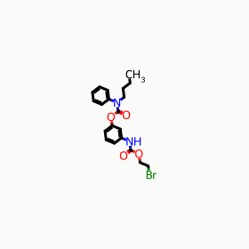 CCCCN(C(=O)Oc1cccc(NC(=O)OCCBr)c1)c1ccccc1